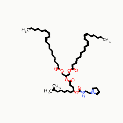 CCCCC/C=C\C/C=C\CCCCCCCC(=O)OCC(COC(=O)CCCCCCC/C=C\C/C=C\CCCCC)OC(=O)CCC(CCCCCC(C)C)OC(=O)NCCN1CCCC1